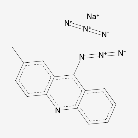 Cc1ccc2nc3ccccc3c(N=[N+]=[N-])c2c1.[N-]=[N+]=[N-].[Na+]